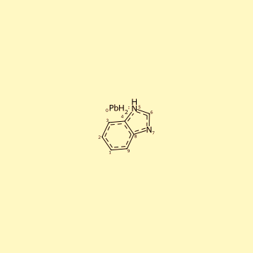 [PbH2].c1ccc2[nH]cnc2c1